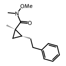 CON(C)C(=O)[C@]1(C)C[C@H]1CCc1ccccc1